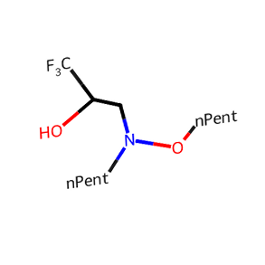 CCCCCON(CCCCC)CC(O)C(F)(F)F